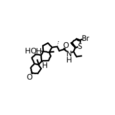 CCC(NC(=O)C[C@@H](C)C1CC[C@H]2C3C(O)CC4CC(=O)CCC4(C)[C@H]3CCC12C)c1ccc(Br)s1